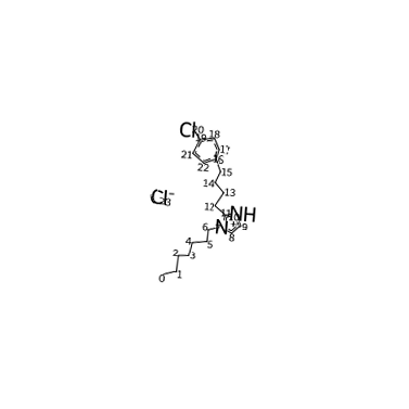 CCCCCCC[n+]1cc[nH]c1CCCCc1ccc(Cl)cc1.[Cl-]